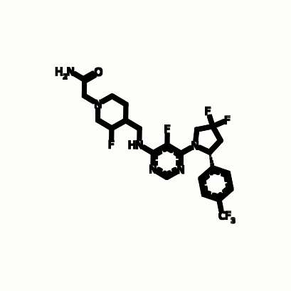 NC(=O)CN1CCC(CNc2ncnc(N3CC(F)(F)C[C@@H]3c3ccc(C(F)(F)F)cc3)c2F)C(F)C1